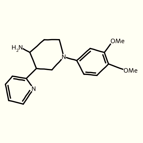 COc1ccc(N2CCC(N)C(c3ccccn3)C2)cc1OC